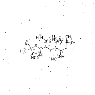 CCC(C)(C)CC(NC#N)N(CN(C(N)=S)C(CC(C)(C)CC)NC#N)C(N)=S